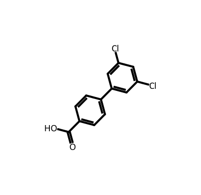 O=C(O)c1ccc(-c2cc(Cl)cc(Cl)c2)cc1